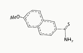 COc1ccc2cc(C(N)=S)ccc2c1